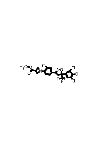 COC(=O)C1CN(c2ccc(C3=NOC(c4cc(Cl)c(Cl)c(Cl)c4)(C(F)(F)F)C3)cc2Cl)C1